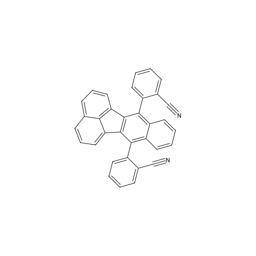 N#Cc1ccccc1-c1c2c(c(-c3ccccc3C#N)c3ccccc13)-c1cccc3cccc-2c13